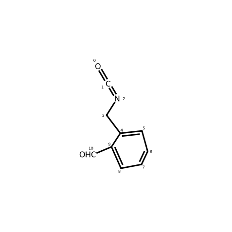 O=C=NCc1ccccc1C=O